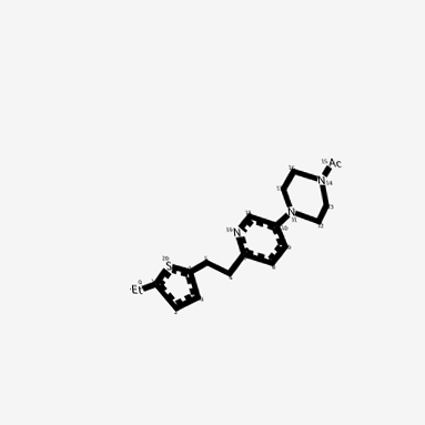 C[CH]c1ccc(CCc2ccc(N3CCN(C(C)=O)CC3)cn2)s1